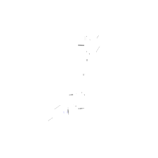 C=C/C=C\C(=C/C)OP(=O)(N[C@@H](C)C(=O)OC(C)C)OC[C@H]1O[C@@H](n2cc(F)c(=O)[nH]c2=O)CC1O